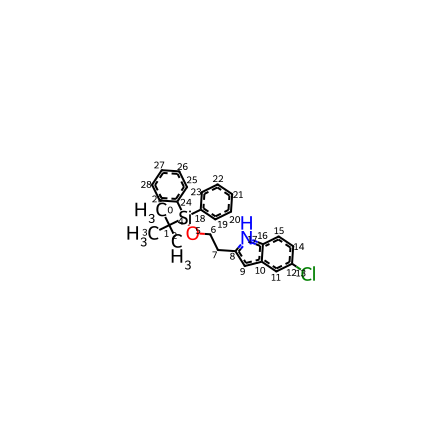 CC(C)(C)[Si](OCCc1cc2cc(Cl)ccc2[nH]1)(c1ccccc1)c1ccccc1